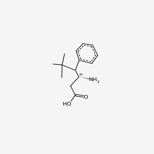 CC(C)(C)C(c1ccccc1)[C@H](N)CC(=O)O